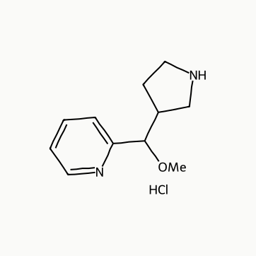 COC(c1ccccn1)C1CCNC1.Cl